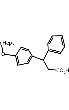 CCCCCCCOc1ccc(C(CC(=O)O)c2ccccc2)cc1